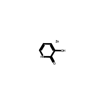 O=c1[nH]cccc1O.[Zn]